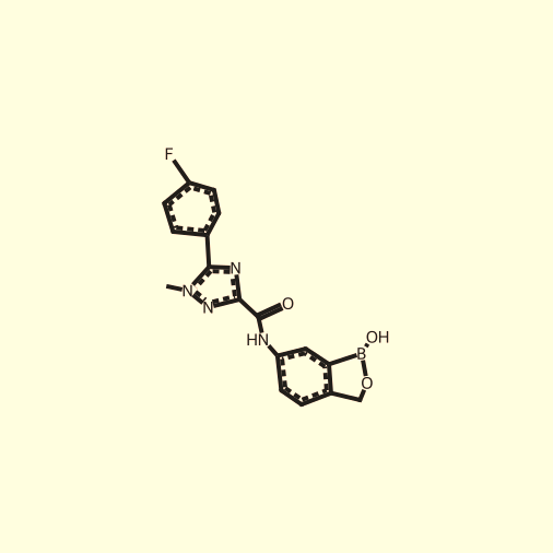 Cn1nc(C(=O)Nc2ccc3c(c2)B(O)OC3)nc1-c1ccc(F)cc1